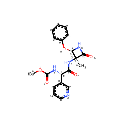 CC(C)(C)OC(=O)N[C@H](C(=O)N[C@]1(C)C(=O)N[C@H]1Oc1ccccc1)c1cccnc1